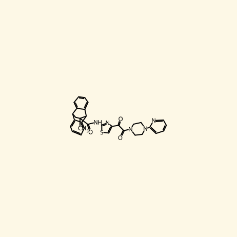 CC1(C(=O)Nc2nc(C(=O)C(=O)N3CCN(c4ccccn4)CC3)cs2)CC2c3ccccc3C1c1ccccc12